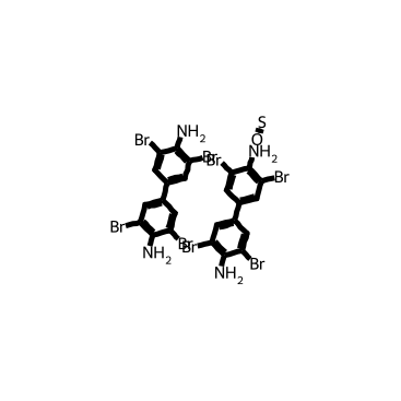 Nc1c(Br)cc(-c2cc(Br)c(N)c(Br)c2)cc1Br.Nc1c(Br)cc(-c2cc(Br)c(N)c(Br)c2)cc1Br.O=S